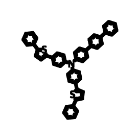 c1ccc(-c2ccc(-c3ccc(N(c4ccc(-c5ccc(-c6ccccc6)s5)cc4)c4ccc(-c5ccc(-c6ccccc6)s5)cc4)cc3)cc2)cc1